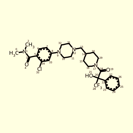 CN(C)C(=O)c1ccc(N2CCN(CC3CCN(C(=O)C(O)(c4ccccc4)C(F)(F)F)CC3)CC2)cc1Cl